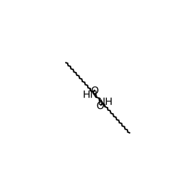 CCCCCCCCCCCCCCCCCC=CC(=O)NCCCCNC(=O)C=CCCCCCCCCCCCCCCCCC